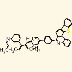 C=C/C=N\C1C=C(C(=C\C)/C(/C=C\C(C)/C=C(\C=C)c2ccc(-c3nc4ccccc4c4c3ccc3c5ccccc5sc34)cc2)=C/C)C=CC1